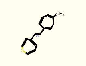 CC1=CC=CC(/C=C/C2=CC=CSC=C2)=CC1